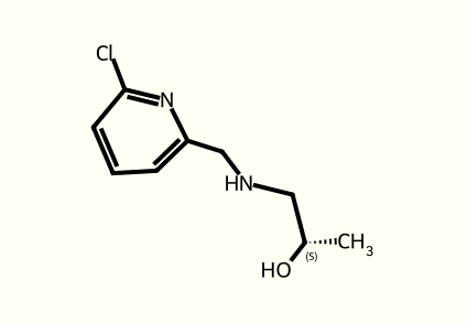 C[C@H](O)CNCc1cccc(Cl)n1